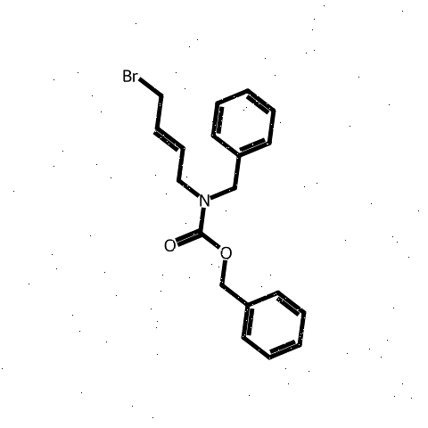 O=C(OCc1ccccc1)N(CC=CCBr)Cc1ccccc1